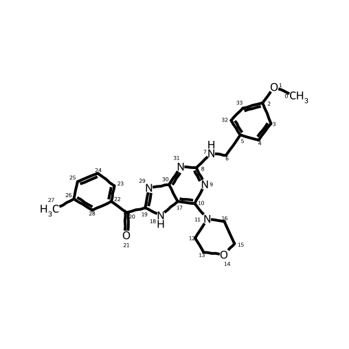 COc1ccc(CNc2nc(N3CCOCC3)c3[nH]c(C(=O)c4cccc(C)c4)nc3n2)cc1